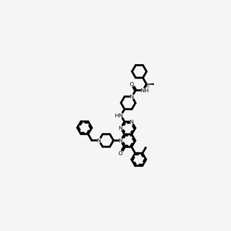 Cc1ccccc1-c1cc2cnc(NC3CCN(C(=O)N[C@H](C)C4CCCCC4)CC3)nc2n(C2CCN(Cc3ccccc3)CC2)c1=O